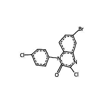 O=c1c(Cl)nc2cc(Br)ccc2n1-c1ccc(Cl)cc1